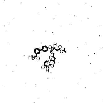 CNC(=O)c1cccc(-c2ccc(OP(NCC(=O)OC(C)C)OCC3CC(C)C(n4ccc(=O)[nH]c4=O)O3)cc2)c1